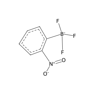 O=[N+]([O-])c1ccccc1[B-](F)(F)F